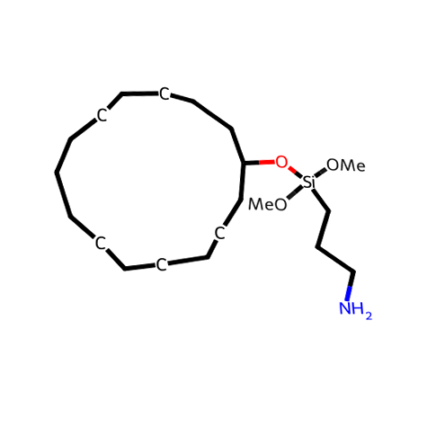 CO[Si](CCCN)(OC)OC1CCCCCCCCCCCCCC1